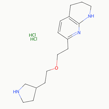 Cl.Cl.c1cc2c(nc1CCOCCC1CCNC1)NCCC2